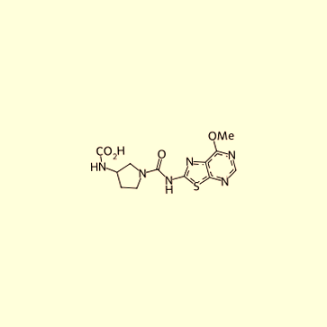 COc1ncnc2sc(NC(=O)N3CCC(NC(=O)O)C3)nc12